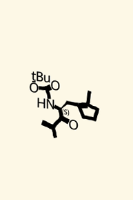 C=C(C)C(=O)[C@H](CC1=C(C)CCC1)NC(=O)OC(C)(C)C